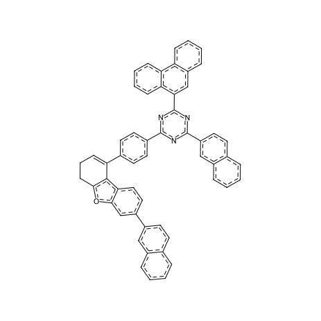 C1=C(c2ccc(-c3nc(-c4ccc5ccccc5c4)nc(-c4cc5ccccc5c5ccccc45)n3)cc2)c2c(oc3cc(-c4ccc5ccccc5c4)ccc23)CC1